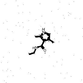 CCNC(=O)c1c(C)c[nH]c1C